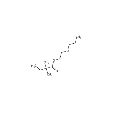 CCCOCCOC(=O)C(C)(C)CC